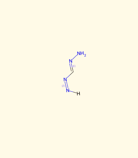 [H]/N=N\C=N\N